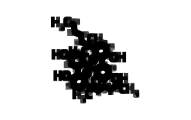 CCCCCC(C)(C)c1ccc(O)c(-c2cc(O)ccc2S(=O)(=O)c2ccc(O)cc2-c2cc(C(C)(C)CCCCC)ccc2O)c1